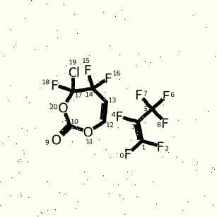 FC(F)=C(F)C(F)(F)F.O=C1OC=CC(F)(F)C(F)(Cl)O1